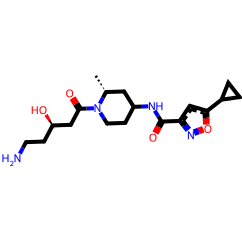 C[C@@H]1CC(NC(=O)c2cc(C3CC3)on2)CCN1C(=O)C[C@H](O)CCN